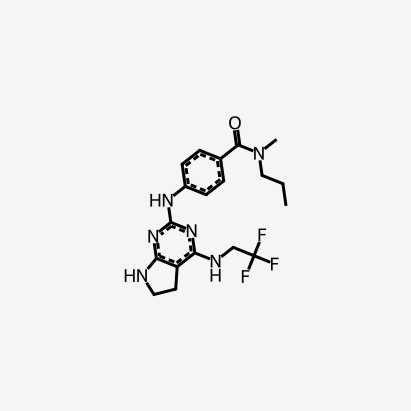 CCCN(C)C(=O)c1ccc(Nc2nc3c(c(NCC(F)(F)F)n2)CCN3)cc1